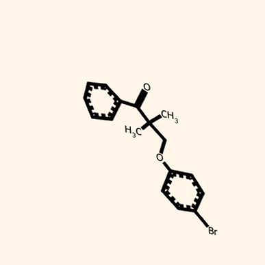 CC(C)(COc1ccc(Br)cc1)C(=O)c1ccccc1